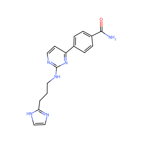 NC(=O)c1ccc(-c2ccnc(NCCCc3ncc[nH]3)n2)cc1